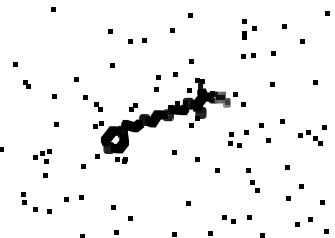 CC(I)C(=O)OCCOCCOCCN1CCOCC1